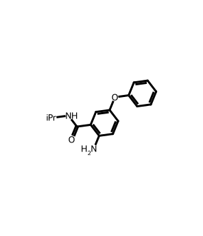 CC(C)NC(=O)c1cc(Oc2ccccc2)ccc1N